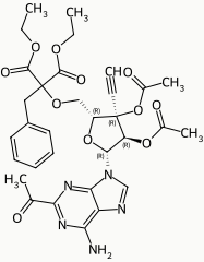 C#C[C@@]1(OC(C)=O)[C@@H](COC(Cc2ccccc2)(C(=O)OCC)C(=O)OCC)O[C@@H](n2cnc3c(N)nc(C(C)=O)nc32)[C@@H]1OC(C)=O